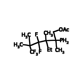 CCC(C)(C(C)(P)COC(C)=O)C(F)(F)C(C)(C)C(F)(F)F